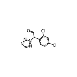 O=CC(c1ccc(Cl)cc1Cl)n1ncnn1